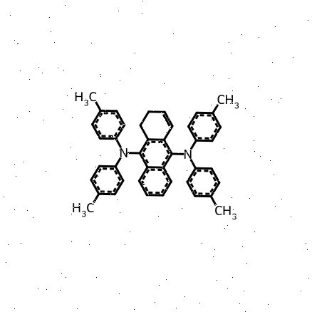 Cc1ccc(N(c2ccc(C)cc2)c2c3c(c(N(c4ccc(C)cc4)c4ccc(C)cc4)c4ccccc24)CCC=C3)cc1